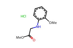 COC(=O)CNc1ccccc1OC.Cl